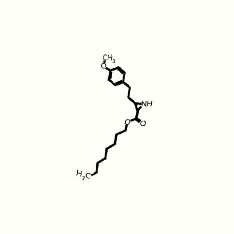 CCCCCCCCOC(=O)C1NC1CCc1ccc(OC)cc1